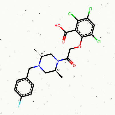 C[C@@H]1CN(C(=O)COc2c(Cl)cc(Cl)c(Cl)c2C(=O)O)[C@@H](C)CN1Cc1ccc(F)cc1